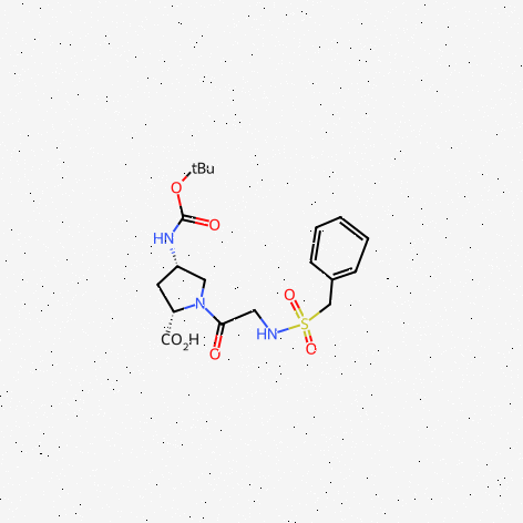 CC(C)(C)OC(=O)N[C@H]1C[C@@H](C(=O)O)N(C(=O)CNS(=O)(=O)Cc2ccccc2)C1